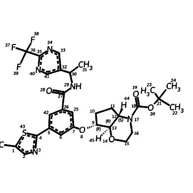 Cc1cnc(-c2cc(O[C@@H]3CC[C@H]4[C@H]3OCCN4C(=O)OC(C)(C)C)cc(C(=O)NC(C)c3cnc(C(F)(F)F)nc3)c2)s1